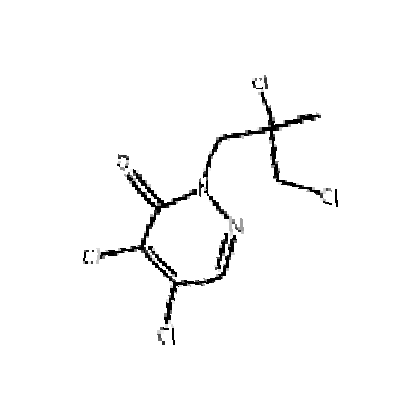 CC(Cl)(CCl)Cn1ncc(Cl)c(Cl)c1=O